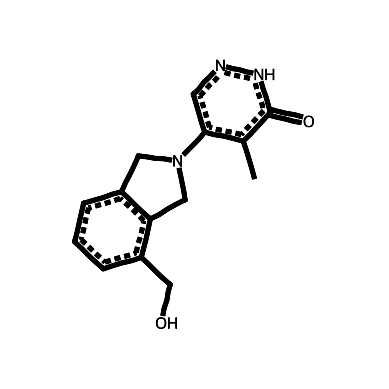 Cc1c(N2Cc3cccc(CO)c3C2)cn[nH]c1=O